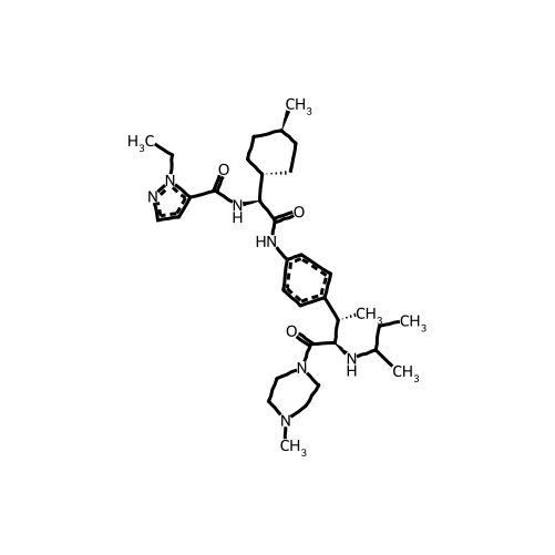 CCC(C)N[C@@H](C(=O)N1CCN(C)CC1)[C@@H](C)c1ccc(NC(=O)[C@@H](NC(=O)c2ccnn2CC)[C@H]2CC[C@H](C)CC2)cc1